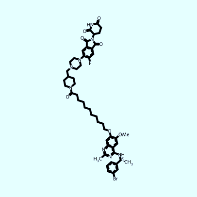 COc1cc2c(N[C@H](C)c3cccc(Br)c3)nc(C)nc2cc1OCCCCCCCCCCC(=O)N1CCC(CN2CCN(c3cc4c(cc3F)C(=O)N(C3CCC(=O)NC3=O)C4=O)CC2)CC1